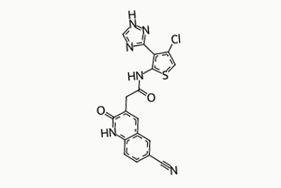 N#Cc1ccc2[nH]c(=O)c(CC(=O)Nc3scc(Cl)c3-c3nc[nH]n3)cc2c1